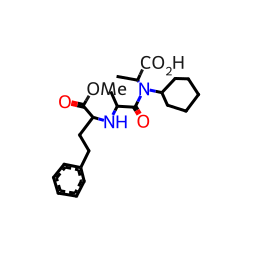 COC(=O)C(CCc1ccccc1)NC(C)C(=O)N(C1CCCCC1)C(C)C(=O)O